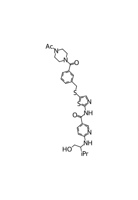 CC(=O)N1CCN(C(=O)c2cccc(CSc3cnc(NC(=O)c4ccc(NC(CO)C(C)C)nc4)s3)c2)CC1